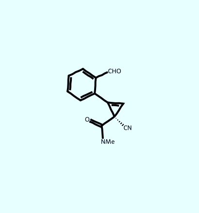 CNC(=O)[C@]1(C#N)C=C1c1ccccc1C=O